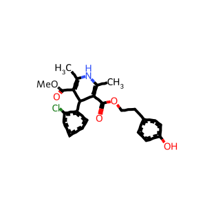 COC(=O)C1=C(C)NC(C)=C(C(=O)OCCc2ccc(O)cc2)C1c1ccccc1Cl